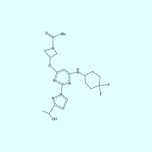 CC(O)c1ccn(-c2nc(NC3CCC(F)(F)CC3)cc(OC3CN(C(=O)C(C)(C)C)C3)n2)n1